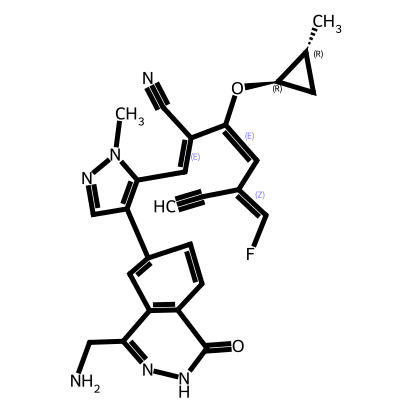 C#CC(=C\F)/C=C(O[C@@H]1C[C@H]1C)\C(C#N)=C\c1c(-c2ccc3c(=O)[nH]nc(CN)c3c2)cnn1C